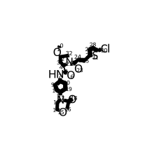 CO[C@@H]1C[C@H](C(=O)Nc2ccc(N3CCOCC3=O)cc2)N(C(=O)/C=C/c2ccc(Cl)s2)C1